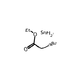 CCCCCC(=O)OCC.[SnH2]